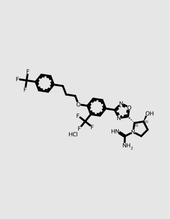 Cl.N=C(N)N1CC[C@H](O)[C@H]1c1nc(-c2ccc(OCCCc3ccc(C(F)(F)F)cc3)c(C(F)(F)F)c2)no1